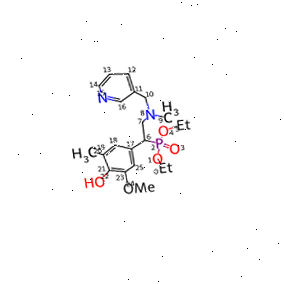 CCOP(=O)(OCC)C(CN(C)Cc1cccnc1)c1cc(C)c(O)c(OC)c1